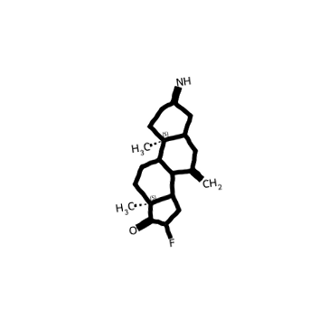 C=C1CC2CC(=N)CC[C@]2(C)C2CC[C@]3(C)C(=O)C(F)CC3C12